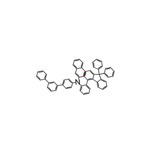 c1ccc(-c2cccc(-c3ccc(N(c4ccc5ccccc5c4)c4ccccc4-c4cccc5c4-c4ccccc4C5(c4ccccc4)c4ccccc4)cc3)c2)cc1